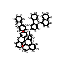 c1ccc2c(c1)Sc1ccccc1C21c2cc(N(c3ccc4sc5ccccc5c4c3)c3ccc4c(c3)c3ccccc3n4-c3cccc4ccccc34)ccc2-c2cccc3cccc1c23